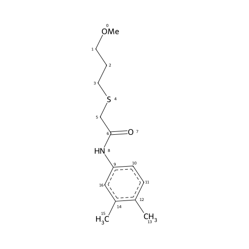 COCCCSCC(=O)Nc1ccc(C)c(C)c1